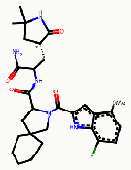 COc1ccc(F)c2[nH]c(C(=O)N3CC4(CCCCC4)CC3C(=O)NC(C[C@@H]3CC(C)(C)NC3=O)C(N)=O)cc12